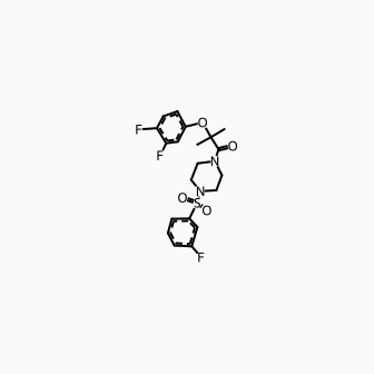 CC(C)(Oc1ccc(F)c(F)c1)C(=O)N1CCN(S(=O)(=O)c2cccc(F)c2)CC1